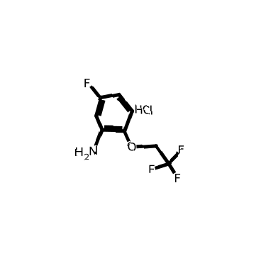 Cl.Nc1cc(F)ccc1OCC(F)(F)F